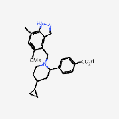 COc1cc(C)c2[nH]ncc2c1CN1CCC(C2CC2)CC1c1ccc(C(=O)O)cc1